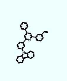 C=Cc1cccc(-c2cc(-c3ccccc3)cc(-c3cccc(-n4c5ccccc5c5ccccc54)c3)n2)c1